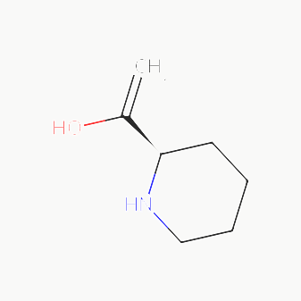 C=C(O)[C@H]1CCCCN1